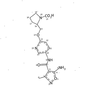 Cc1noc(N)c1C(=O)Nc1ccc(OCC2CCCN2C(=O)O)nc1